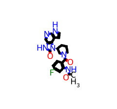 CC(=O)Nc1cc(F)ccc1C(=O)N1CCC[C@@H](n2c(=O)[nH]c3cnc4[nH]ccc4c32)C1